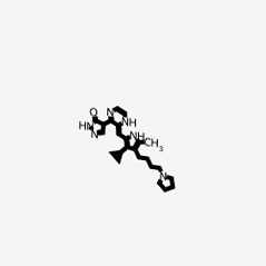 Cc1[nH]c(C=C2NC=CN=C2C2C=NNC2=O)c(C2CC2)c1CCCCN1CCCC1